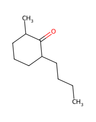 CCCCC1CCCC(C)C1=O